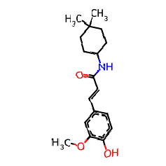 COc1cc(/C=C/C(=O)NC2CCC(C)(C)CC2)ccc1O